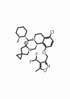 Cc1onc(COc2ccc(Cl)c3c2[C@@H](CN2CC4(CC4)CC2=O)N(C(=O)[C@@H]2CCCC[C@@H]2C)CC3)c1C(F)F